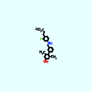 Cc1cc(O)cc(C)c1-c1cccc(CNc2ccc(CCC(=O)O)c(F)c2)c1